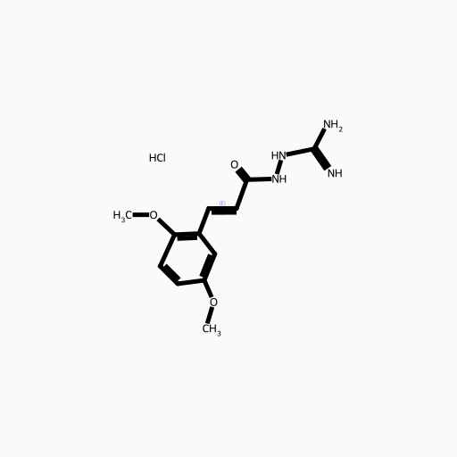 COc1ccc(OC)c(/C=C/C(=O)NNC(=N)N)c1.Cl